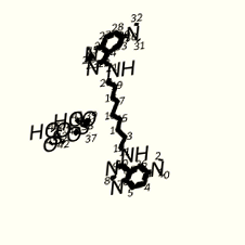 CN(C)c1ccc2ncnc(NCCCCCCCCCNc3ncnc4ccc(N(C)C)cc34)c2c1.CS(=O)(=O)O.CS(=O)(=O)O